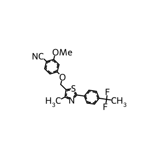 COc1cc(OCc2sc(-c3ccc(C(C)(F)F)cc3)nc2C)ccc1C#N